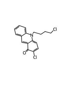 O=c1c(Cl)ccc2n(CCCCCl)c3ccccc3cc1-2